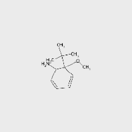 COC1(C(C)(C)C)C=CC=CC1N